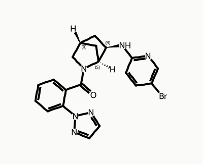 O=C(c1ccccc1-n1nccn1)N1C[C@@H]2C[C@@H](Nc3ccc(Br)cn3)[C@@H]1C2